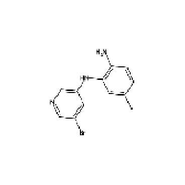 Nc1ccc(F)cc1Nc1cncc(Br)c1